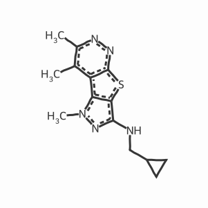 Cc1nnc2sc3c(NCC4CC4)nn(C)c3c2c1C